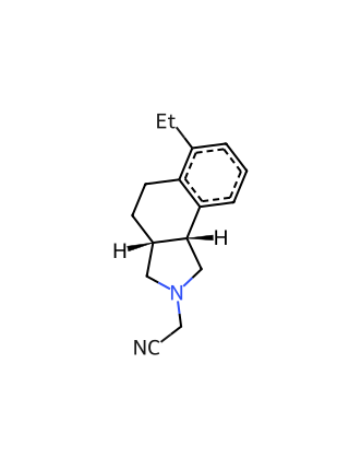 CCc1cccc2c1CC[C@H]1CN(CC#N)C[C@@H]21